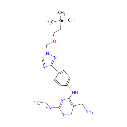 C[Si](C)(C)CCOCn1cnc(-c2ccc(Nc3nc(NCC(F)(F)F)ncc3CN)cc2)n1